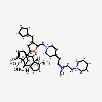 CCN(CCC1CCN(CC2OC(C34C[C@@H]5[C@H](C)CC[C@H]5C5(C=O)CC3C=C(C(C)C)[C@@]45C(=O)O)CC2CC2CCCC2)CC1)CCN1CCCCC1